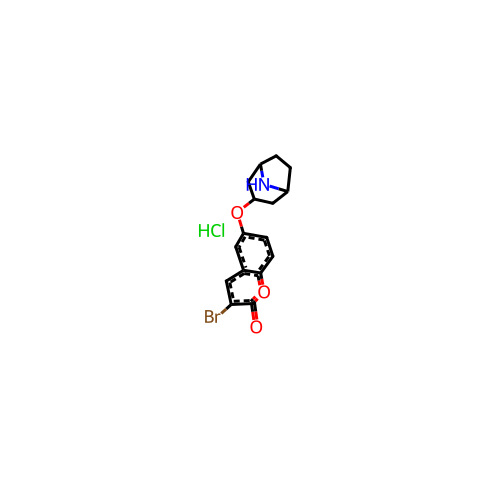 Cl.O=c1oc2ccc(OC3CC4CCC(C3)N4)cc2cc1Br